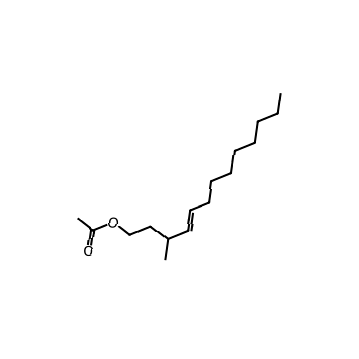 CCCCCCCCC=CC(C)CCOC(C)=O